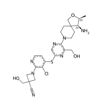 C[C@@H]1OCC2(CCN(c3ncc(Sc4ccnc(N5CC(C#N)(CO)C5)c4Cl)nc3CO)CC2)[C@@H]1N